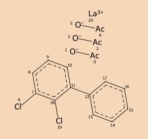 CC(=O)[O-].CC(=O)[O-].CC(=O)[O-].Clc1cccc(-c2ccccc2)c1Cl.[La+3]